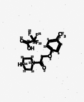 O=C(COc1ccc(C(F)(F)F)cc1)N1CCNCC1.O=C(O)C(F)(F)F